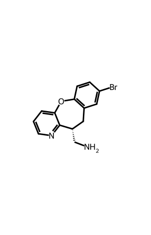 NC[C@H]1Cc2cc(Br)ccc2Oc2cccnc21